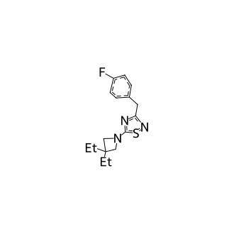 CCC1(CC)CN(c2nc(Cc3ccc(F)cc3)ns2)C1